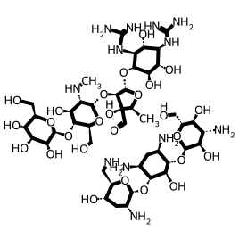 CN[C@@H]1[C@H](O[C@H]2[C@H](O[C@H]3[C@H](O)[C@@H](O)[C@H](NC(=N)N)[C@@H](O)[C@@H]3NC(=N)N)O[C@@H](C)[C@]2(O)C=O)O[C@@H](CO)[C@H](O[C@@H]2O[C@H](CO)[C@@H](O)[C@H](O)[C@@H]2O)[C@H]1O.NC[C@H]1O[C@H](O[C@H]2[C@H](O)[C@@H](O[C@H]3O[C@H](CO)[C@@H](O)[C@H](N)[C@H]3O)[C@H](N)C[C@@H]2N)[C@H](N)C[C@@H]1O